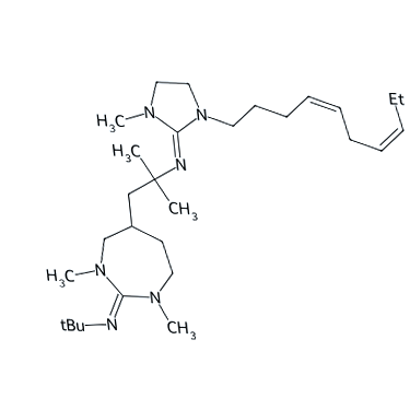 CC/C=C\C/C=C\CCCN1CCN(C)/C1=N\C(C)(C)CC1CCN(C)C(=NC(C)(C)C)N(C)C1